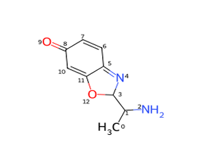 CC(N)C1N=C2C=CC(=O)C=C2O1